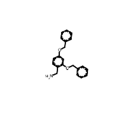 NCc1ccc(OCc2ccccc2)cc1OCc1ccccc1